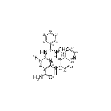 NC(=O)c1cc(F)c(N[C@@H](NC=O)c2ccccc2)nc1Nc1ccc2ncccc2c1